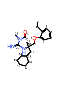 CCc1ccccc1OCC(C)(CC1CCCCC1)NC(=N)N(C)C=O